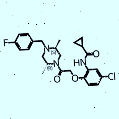 C[C@@H]1CN(Cc2ccc(F)cc2)[C@@H](C)CN1C(=O)COc1ccc(Cl)cc1NC(=O)C1CC1